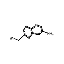 CC(C)Cc1ccc2ncc(N)cc2c1